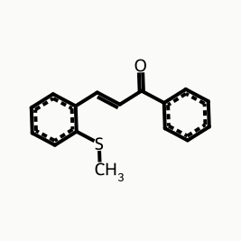 CSc1ccccc1C=CC(=O)c1ccccc1